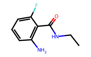 CCNC(=O)c1c(N)cccc1F